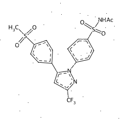 CC(=O)NS(=O)(=O)c1ccc(-n2nc(C(F)(F)F)cc2-c2ccc(S(C)(=O)=O)cc2)cc1